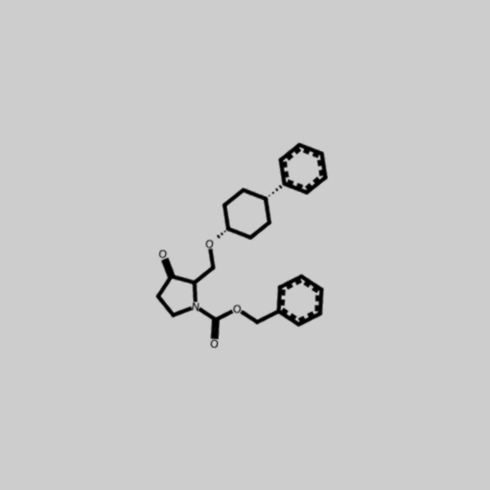 O=C1CCN(C(=O)OCc2ccccc2)C1CO[C@H]1CC[C@@H](c2ccccc2)CC1